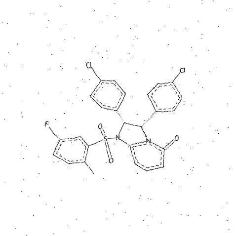 Cc1ccc(F)cc1S(=O)(=O)N1c2cccc(=O)n2[C@@H](c2ccc(Cl)cc2)[C@H]1c1ccc(Cl)cc1